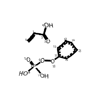 C=CC(=O)O.O=P(O)(O)OOc1ccccc1